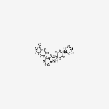 O=C1N=Cc2cc(-c3ncnc4[nH]c(-c5ccc(N6CCOCC6)cc5)cc34)ccc21